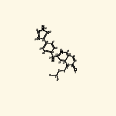 CC(C)CCn1c(=O)ccc2cnc(Nc3ccc(-c4nn[nH]n4)cc3)cc21